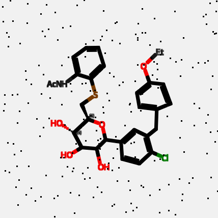 CCOc1ccc(Cc2cc(C3O[C@H](CSc4ccccc4NC(C)=O)[C@@H](O)C(O)C3O)ccc2Cl)cc1